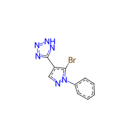 Brc1c(-c2nn[nH]n2)cnn1-c1ccccc1